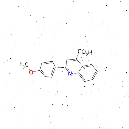 O=C(O)c1cc(-c2ccc(OC(F)(F)F)cc2)nc2ccccc12